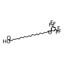 O=C(O)CCCCCCCCCCCCCCCCCCCCOc1cc(C(F)(F)F)cc(C(F)(F)F)c1